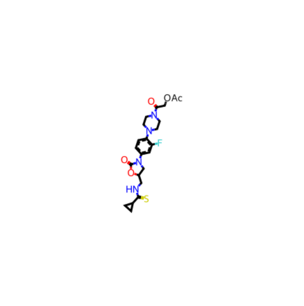 CC(=O)OCC(=O)N1CCN(c2ccc(N3CC(CNC(=S)C4CC4)OC3=O)cc2F)CC1